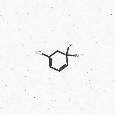 CC(C)C1(Br)C=CC=C(O)C1